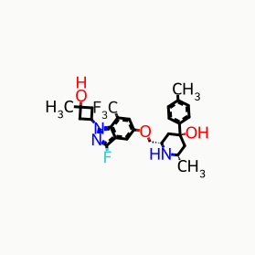 Cc1ccc([C@@]2(O)C[C@@H](COc3cc(C(F)(F)F)c4c(c3)c(F)nn4C3CC(C)(O)C3)N[C@@H](C)C2)cc1